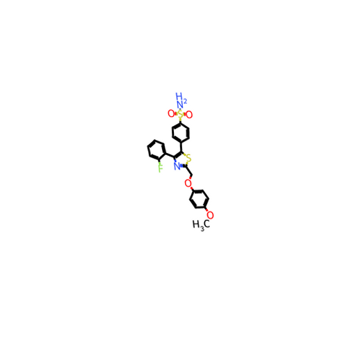 COc1ccc(OCc2nc(-c3ccccc3F)c(-c3ccc(S(N)(=O)=O)cc3)s2)cc1